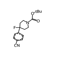 CC(C)(C)OC(=O)N1CCC(F)(c2ccc(C#N)cc2)CC1